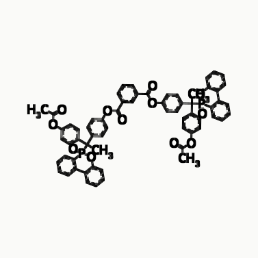 CC(=O)Oc1ccc(C(C)(c2ccc(OC(=O)c3cccc(C(=O)Oc4ccc(C(C)(c5ccc(OC(C)=O)cc5)P5(=O)Oc6ccccc6-c6ccccc65)cc4)c3)cc2)P2(=O)Oc3ccccc3-c3ccccc32)cc1